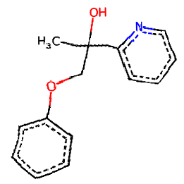 CC(O)(COc1ccccc1)c1ccccn1